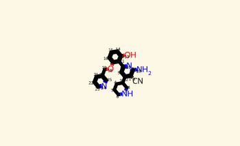 N#Cc1c(C2CCCNC2)cc(-c2c(O)cccc2OCc2cccnc2)nc1N